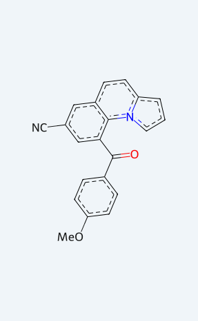 COc1ccc(C(=O)c2cc(C#N)cc3ccc4cccn4c23)cc1